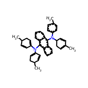 CC1=CCC(N(c2ccc(C)cc2)c2c3ccccc3c(N(C3=CCC(C)C=C3)C3=CCC(C)C=C3)c3ccccc23)C=C1